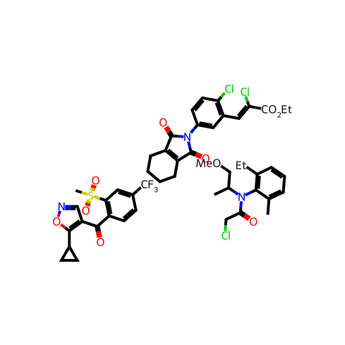 CCOC(=O)/C(Cl)=C/c1cc(N2C(=O)C3=C(CCCC3)C2=O)ccc1Cl.CCc1cccc(C)c1N(C(=O)CCl)C(C)COC.CS(=O)(=O)c1cc(C(F)(F)F)ccc1C(=O)c1cnoc1C1CC1